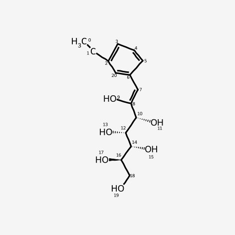 CCc1cccc(C=C(O)[C@H](O)[C@@H](O)[C@H](O)[C@H](O)CO)c1